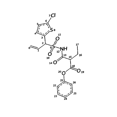 C=CC(c1ccc(Cl)s1)S(=O)(=O)NC(=O)C(CC)C(=O)Oc1ccccc1